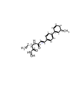 CC1C=C(c2ccc(/C=C/C(=O)N[C@@H](CN)C(=O)NO)cc2)C=CC1